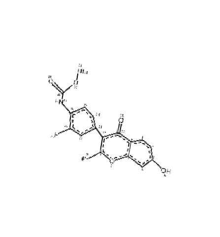 CC(C)c1oc2cc(O)ccc2c(=O)c1-c1ccc(NC(=O)OC(C)(C)C)c(F)c1